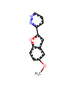 COc1ccc2oc(-c3cccnn3)cc2c1